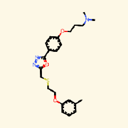 Cc1cccc(OCCSCc2nnc(-c3ccc(OCCCN(C)C)cc3)o2)c1